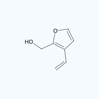 C=Cc1ccoc1CO